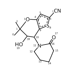 CC1(C)Oc2cc(C#N)sc2C(N2CCCCC2=O)C1O